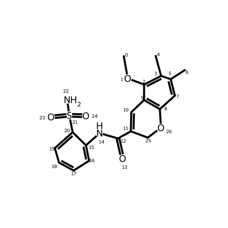 COc1c(C)c(C)cc2c1C=C(C(=O)Nc1ccccc1S(N)(=O)=O)CO2